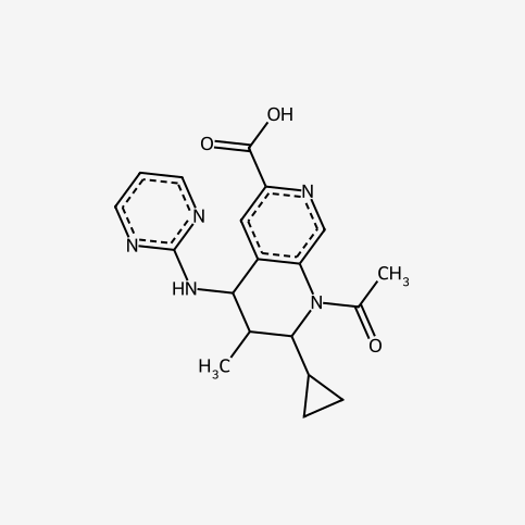 CC(=O)N1c2cnc(C(=O)O)cc2C(Nc2ncccn2)C(C)C1C1CC1